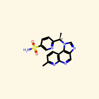 Cc1ccc2c(ncc3ncn([C@H](C)c4ccc(S(N)(=O)=O)cn4)c32)n1